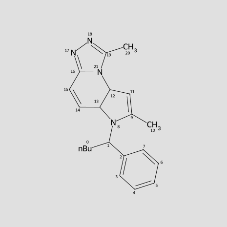 CCCCC(c1ccccc1)N1C(C)=CC2C1C=Cc1nnc(C)n12